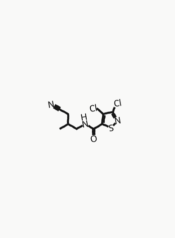 CC(CC#N)CNC(=O)c1snc(Cl)c1Cl